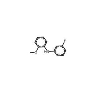 COc1ccc[c]c1Nc1cccc(F)c1